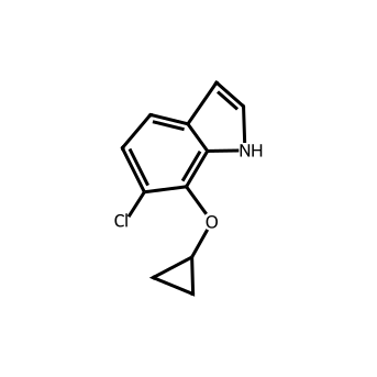 Clc1ccc2cc[nH]c2c1OC1CC1